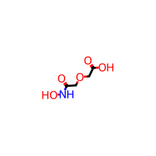 O=C(O)COCC(=O)NO